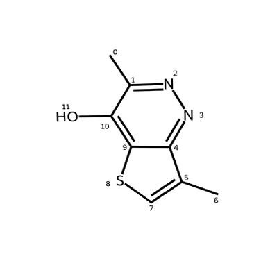 Cc1nnc2c(C)csc2c1O